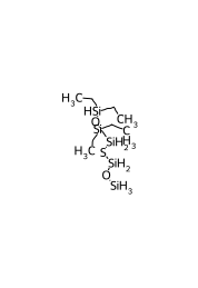 CC[SiH](CC)O[Si](CC)(CC)[SiH2]S[SiH2]O[SiH3]